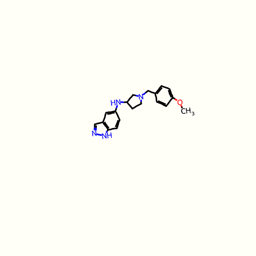 COc1ccc(CN2CCC(Nc3ccc4[nH]ncc4c3)C2)cc1